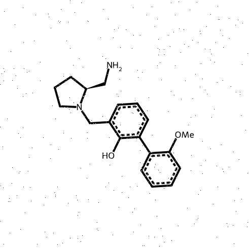 COc1ccccc1-c1cccc(CN2CCC[C@H]2CN)c1O